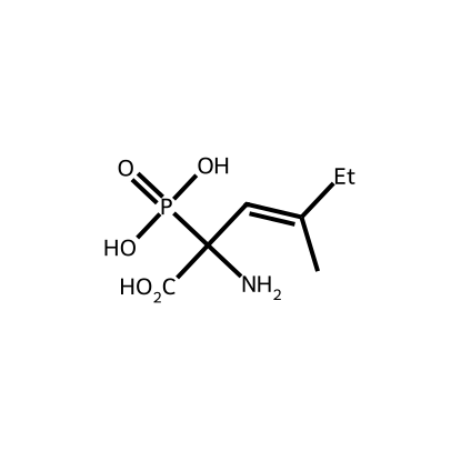 CC/C(C)=C/C(N)(C(=O)O)P(=O)(O)O